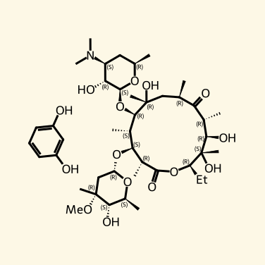 CC[C@H]1OC(=O)[C@H](C)[C@@H](O[C@H]2C[C@@](C)(OC)[C@@H](O)[C@H](C)O2)[C@H](C)[C@@H](O[C@@H]2O[C@H](C)C[C@H](N(C)C)[C@H]2O)[C@](C)(O)C[C@@H](C)C(=O)[C@H](C)[C@@H](O)[C@]1(C)O.Oc1cccc(O)c1